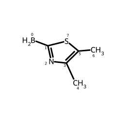 Bc1nc(C)c(C)s1